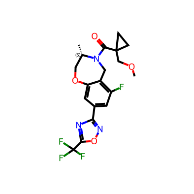 COCC1(C(=O)N2Cc3c(F)cc(-c4noc(C(F)(F)F)n4)cc3OC[C@@H]2C)CC1